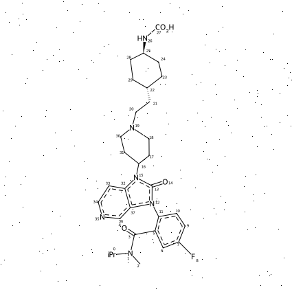 CC(C)N(C)C(=O)c1cc(F)ccc1-n1c(=O)n(C2CCN(CC[C@H]3CC[C@H](NC(=O)O)CC3)CC2)c2ccncc21